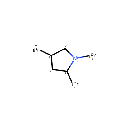 CC(C)C1CC(C(C)C)N(C(C)C)C1